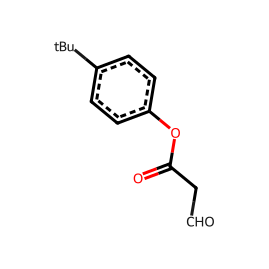 CC(C)(C)c1ccc(OC(=O)CC=O)cc1